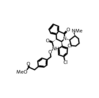 CN[C@H]1CCCC[C@@H]1N1C(=O)c2ccccc2[C@@H](C(=O)NOCc2ccc(CC(=O)OC)cc2)[C@@H]1c1ccc(Cl)cc1Cl